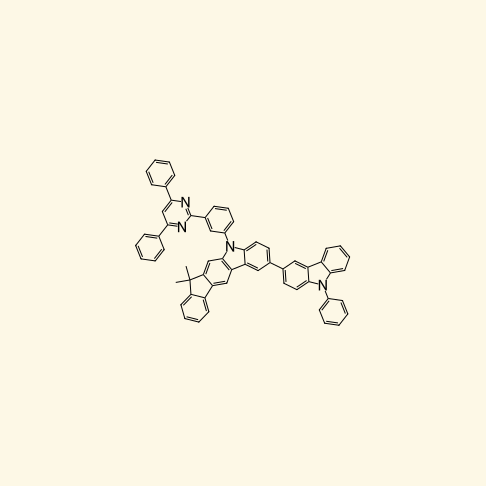 CC1(C)c2ccccc2-c2cc3c4cc(-c5ccc6c(c5)c5ccccc5n6-c5ccccc5)ccc4n(-c4cccc(-c5nc(-c6ccccc6)cc(-c6ccccc6)n5)c4)c3cc21